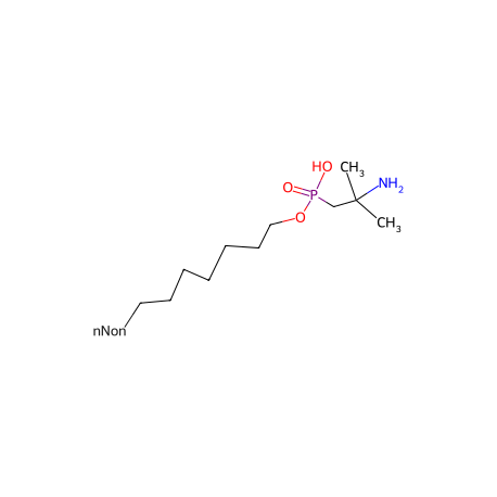 CCCCCCCCCCCCCCCCOP(=O)(O)CC(C)(C)N